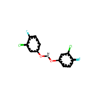 Fc1ccc(OBOc2ccc(F)c(Cl)c2)cc1Cl